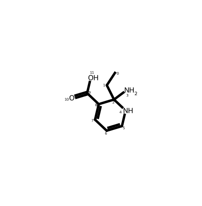 CCC1(N)NC=CC=C1C(=O)O